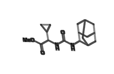 COC(=O)C(NC(=O)NC1C2CC3CC(C2)CC1C3)C1CC1